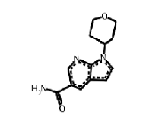 NC(=O)c1cnc2c(ccn2C2CCOCC2)c1